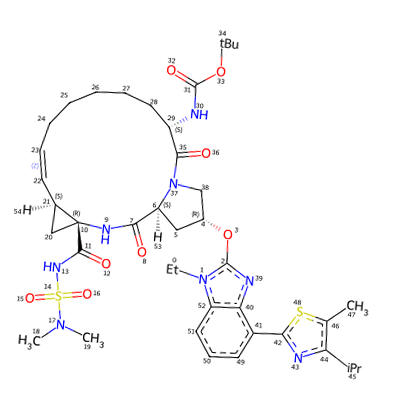 CCn1c(O[C@@H]2C[C@H]3C(=O)N[C@]4(C(=O)NS(=O)(=O)N(C)C)C[C@H]4/C=C\CCCCC[C@H](NC(=O)OC(C)(C)C)C(=O)N3C2)nc2c(-c3nc(C(C)C)c(C)s3)cccc21